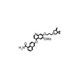 C=C1CN(CCCOc2cc3nccc(Oc4ccc5c(C(N)=O)cccc5c4)c3cc2OC)CC12CC2